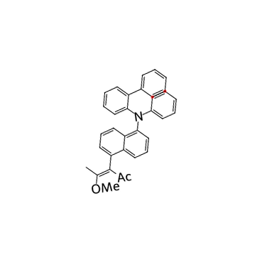 CO/C(C)=C(\C(C)=O)c1cccc2c(N(c3ccccc3)c3ccccc3-c3ccccc3)cccc12